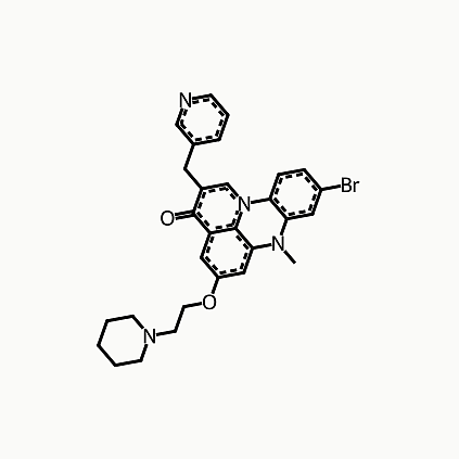 CN1c2cc(Br)ccc2-n2cc(Cc3cccnc3)c(=O)c3cc(OCCN4CCCCC4)cc1c32